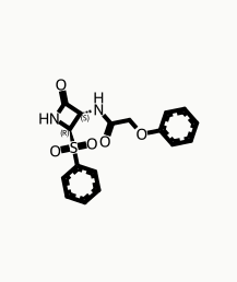 O=C(COc1ccccc1)N[C@H]1C(=O)N[C@@H]1S(=O)(=O)c1ccccc1